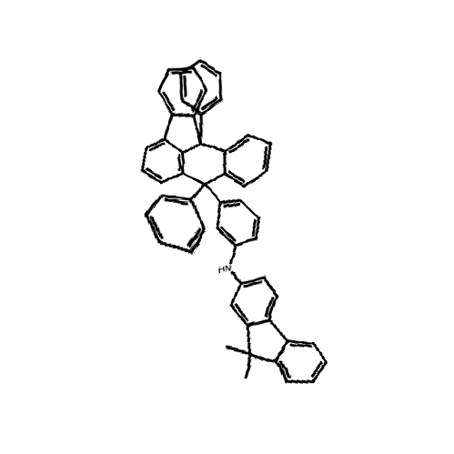 CC1(C)c2ccccc2-c2ccc(Nc3cccc(C4(c5ccccc5)c5ccccc5C5(c6ccccc6)c6ccccc6-c6cccc4c65)c3)cc21